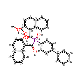 COc1ccc2ccccc2c1C(=O)P(=O)(C(=O)c1c(OC)ccc2ccccc12)c1ccc(-c2ccccc2)cc1